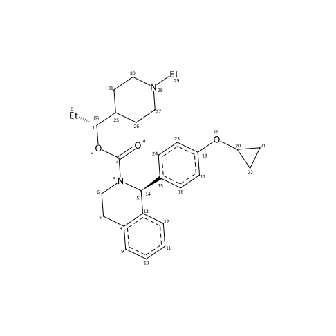 CC[C@@H](OC(=O)N1CCc2ccccc2[C@@H]1c1ccc(OC2CC2)cc1)C1CCN(CC)CC1